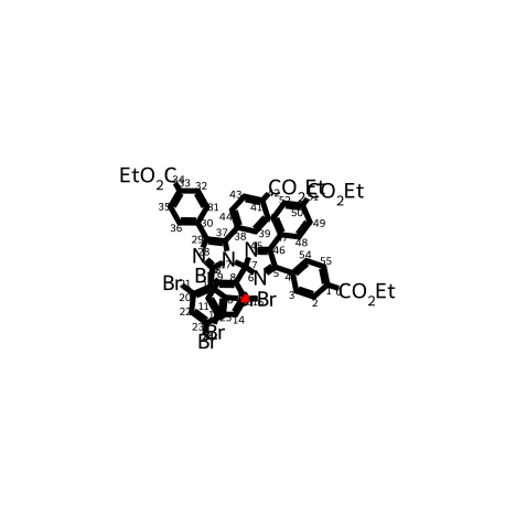 CCOC(=O)c1ccc(C2=NC(c3c(Br)cc(Br)cc3Br)(n3c(-c4c(Br)cc(Br)cc4Br)nc(-c4ccc(C(=O)OCC)cc4)c3-c3ccc(C(=O)OCC)cc3)N=C2c2ccc(C(=O)OCC)cc2)cc1